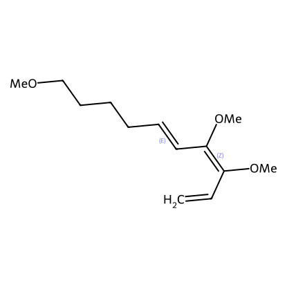 C=C/C(OC)=C(\C=C\CCCCOC)OC